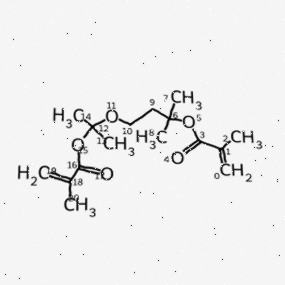 C=C(C)C(=O)OC(C)(C)CCOC(C)(C)OC(=O)C(=C)C